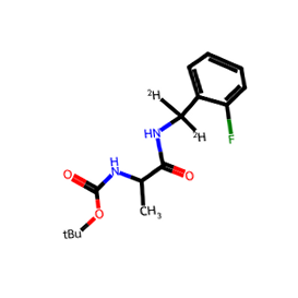 [2H]C([2H])(NC(=O)C(C)NC(=O)OC(C)(C)C)c1ccccc1F